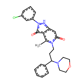 Cc1c2c(=O)n(-c3cccc(Cl)c3)[nH]c2cc(=O)n1CCC(c1ccccc1)N1CCOCC1